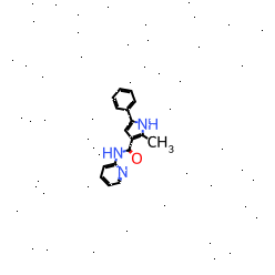 Cc1[nH]c(-c2ccccc2)cc1C(=O)Nc1ccccn1